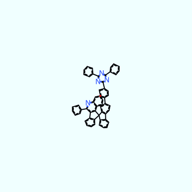 c1ccc(-c2nc(-c3ccccc3)nc(-c3ccc(-c4ccc5c(c4)C4(c6ccccc6-5)c5ccccc5-c5c(-c6ccccc6)nc6ccccc6c54)cc3)n2)cc1